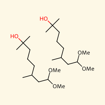 COC(CC(C)CCCC(C)(C)O)OC.COC(CC(C)CCCC(C)(C)O)OC